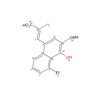 CCc1cccc2c(/C=C(\C)C(=O)O)cc(OC)c(O)c12